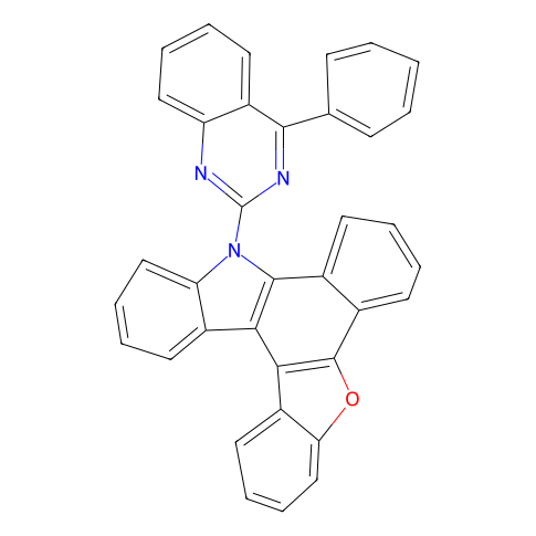 c1ccc(-c2nc(-n3c4ccccc4c4c5c6ccccc6oc5c5ccccc5c43)nc3ccccc23)cc1